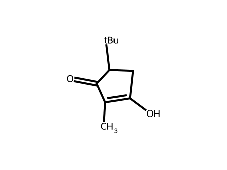 CC1=C(O)CC(C(C)(C)C)C1=O